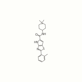 Cc1ccccc1-c1nc2[nH]c(C(=O)NC3CC[Si](C)(C)CC3)cc2s1